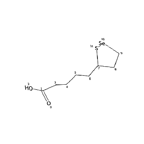 O=C(O)CCCCC1CC[Se]S1